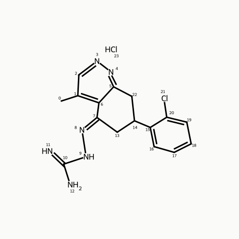 Cc1cnnc2c1C(=NNC(=N)N)CC(c1ccccc1Cl)C2.Cl